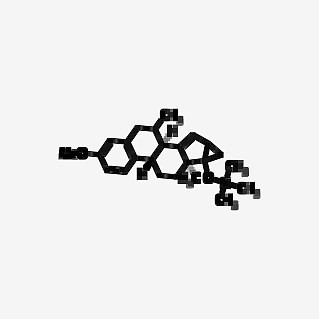 COc1ccc2c(c1)CC(C)[C@H]1C3=CC4CC4(O[Si](C)(C)C)[C@@]3(C)CC[C@H]21